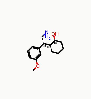 COc1cccc([C@H](CN)[C@@H]2CCCC[C@@H]2O)c1